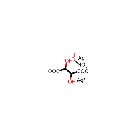 O=C([O-])C(O)C(O)C(=O)[O-].O=[N+]([O-])O.[Ag+].[Ag+]